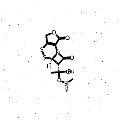 C[SiH](C)OC(C)([C@H]1C(=O)N2C3=C(COC3=O)SS[C@H]12)C(C)(C)C